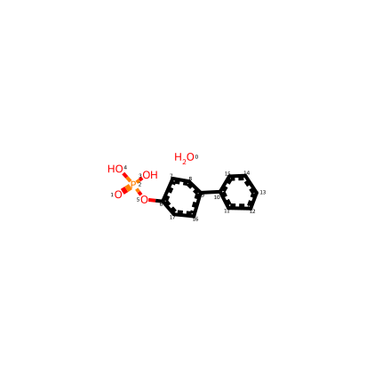 O.O=P(O)(O)Oc1ccc(-c2ccccc2)cc1